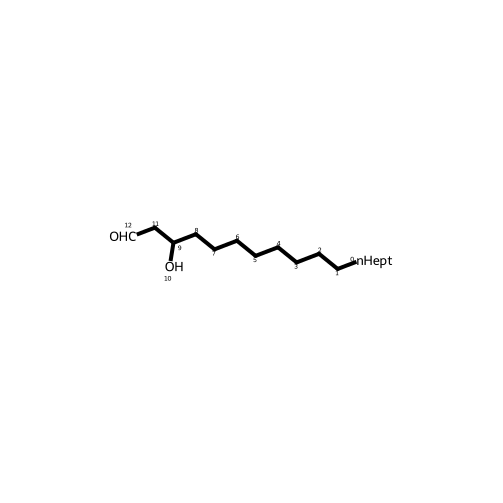 CCCCCCCCCCCCCCCC(O)CC=O